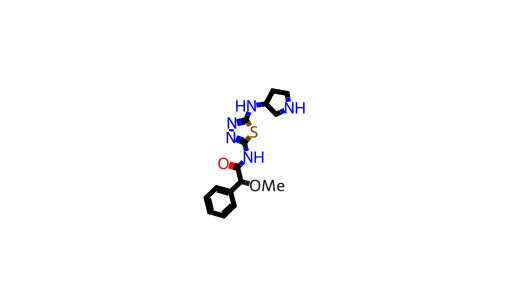 COC(C(=O)Nc1nnc(NC2CCNC2)s1)c1ccccc1